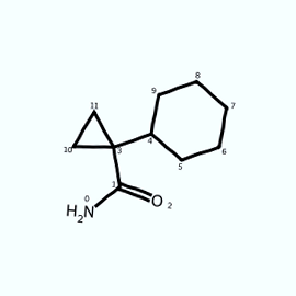 NC(=O)C1(C2CCCCC2)CC1